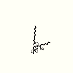 CCCCCCCCCCC[C@H](CC(=O)OC)OC(=O)C(Br)CCCCCC